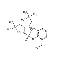 Cc1cccc(CO)c1OP(=O)(OCC[Si](C)(C)C)OCC[Si](C)(C)C